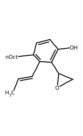 CC=Cc1c(CCCCCCCC)ccc(O)c1C1CO1